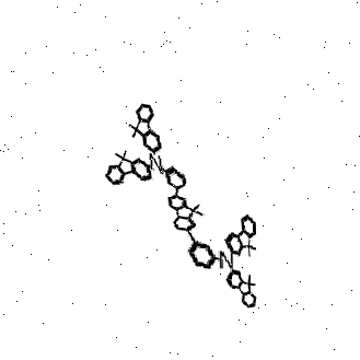 CC1(C)c2cc(-c3cccc(N(c4ccc5c(c4)C(C)(C)c4ccccc4-5)c4ccc5c(c4)C(C)(C)c4ccccc4-5)c3)ccc2-c2ccc(-c3cccc(N(c4ccc5c(c4)C(C)(C)c4ccccc4-5)c4ccc5c(c4)C(C)(C)c4ccccc4-5)c3)cc21